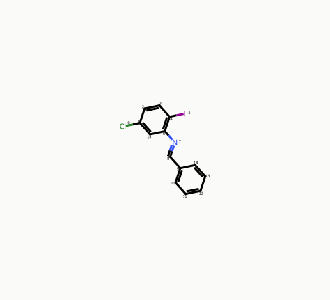 Clc1ccc(I)c(N=Cc2ccccc2)c1